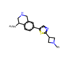 CC(=O)NC1CNCc2cc(-c3cnc(C4CN(C(C)C)C4)s3)ccc21